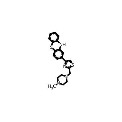 CN1CCN(Cc2nc(-c3ccc4c(c3)Nc3ccccc3S4)cs2)CC1